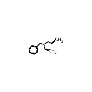 C=CCN(C=C)Cc1ccccc1